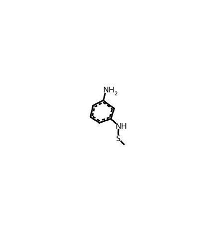 CSNc1cccc(N)c1